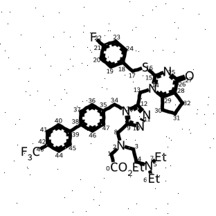 CCOC(=O)CN(CCN(CC)CC)Cc1nnc(Cn2c(SCc3ccc(F)cc3)nc(=O)c3c2CCC3)n1Cc1ccc(-c2ccc(C(F)(F)F)cc2)cc1